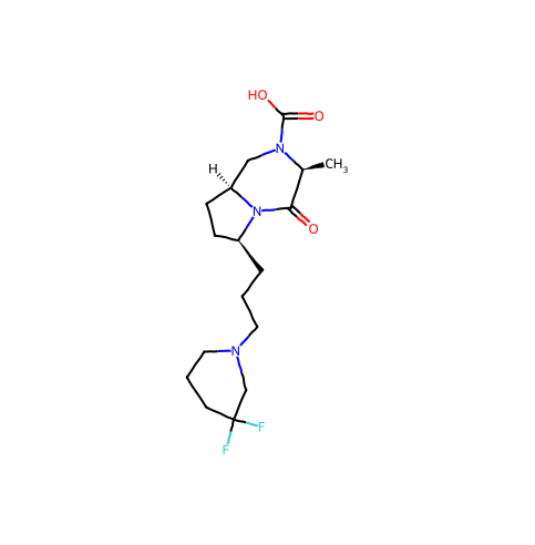 C[C@H]1C(=O)N2[C@@H](CCCN3CCCC(F)(F)C3)CC[C@H]2CN1C(=O)O